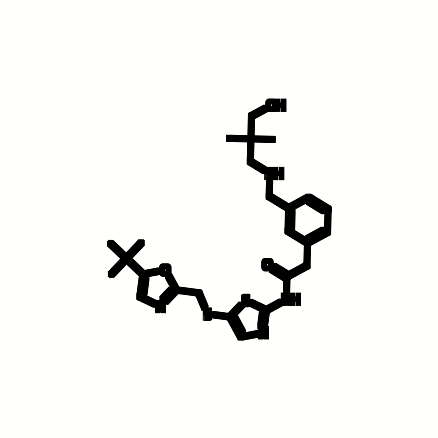 CC(C)(CO)CNCc1cccc(CC(=O)Nc2ncc(SCc3ncc(C(C)(C)C)o3)s2)c1